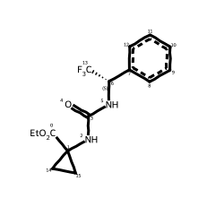 CCOC(=O)C1(NC(=O)N[C@@H](c2ccccc2)C(F)(F)F)CC1